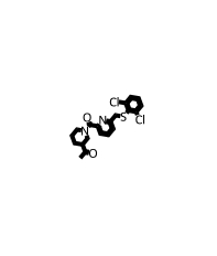 CC(=O)C1CCCN(C(=O)c2cccc(CSc3c(Cl)cccc3Cl)n2)C1